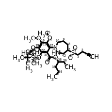 C#CCCS(=O)(=O)C1CCCN(c2c(OC)c(OC)c(OC)c(O[Si](C)(C)C(C)(C)C)c2C(=O)OC(CC)CCC)NC1